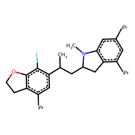 CC(C)c1cc(C(C)C)c2c(c1)N(C)C(CC(C)c1cc(C(C)C)c3c(c1F)OCC3)C2